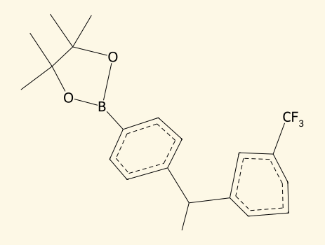 CC(c1ccc(B2OC(C)(C)C(C)(C)O2)cc1)c1cccc(C(F)(F)F)c1